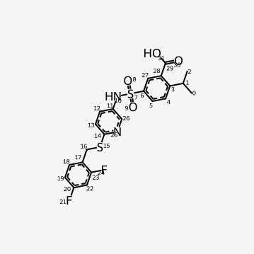 CC(C)c1ccc(S(=O)(=O)Nc2ccc(SCc3ccc(F)cc3F)nc2)cc1C(=O)O